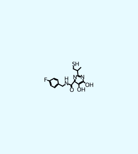 CC(CS)c1nc(O)c(O)c(C(=O)NCc2ccc(F)cc2)n1